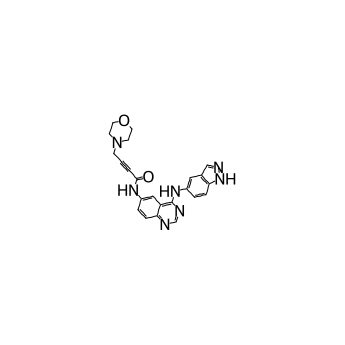 O=C(C#CCN1CCOCC1)Nc1ccc2ncnc(Nc3ccc4[nH]ncc4c3)c2c1